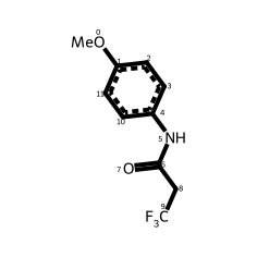 COc1ccc(NC(=O)CC(F)(F)F)cc1